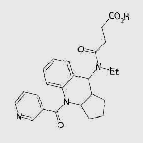 CCN(C(=O)CCC(=O)O)C1c2ccccc2N(C(=O)c2cccnc2)C2CCCC12